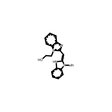 CCCN1/C(=C/c2nc3ccccc3n2CCO)Nc2ccccc21